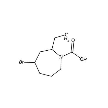 CCC1CC(Br)CCCN1C(=O)O